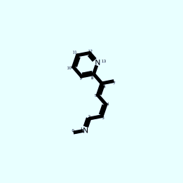 C/N=C/C=C\C=C(/C)c1ccccn1